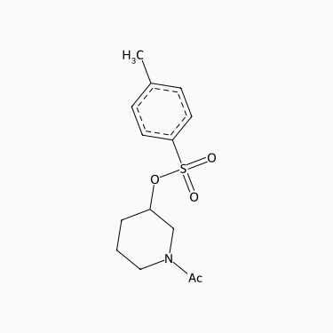 CC(=O)N1CCCC(OS(=O)(=O)c2ccc(C)cc2)C1